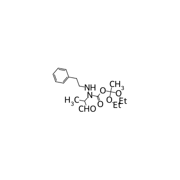 CCOC(C)(OCC)OC(=O)N(NCCc1ccccc1)C(C)C=O